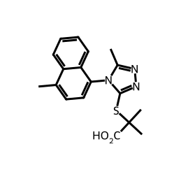 Cc1ccc(-n2c(C)nnc2SC(C)(C)C(=O)O)c2ccccc12